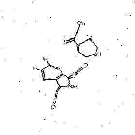 O=C(O)N1CCNCC1.[2H]c1cc2c(=C=O)[nH]c(=C=O)c2cc1F